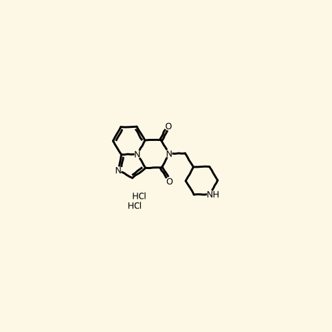 Cl.Cl.O=c1c2cccc3ncc(c(=O)n1CC1CCNCC1)n32